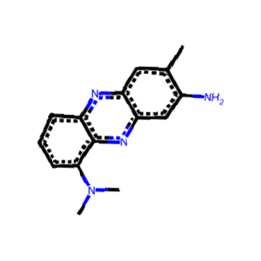 Cc1cc2nc3cccc(N(C)C)c3nc2cc1N